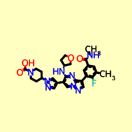 CNC(=O)c1cc(C)c(F)c(-c2cnn3cc(-c4cnn(C5CCN(C(=O)O)CC5)c4)c(N[C@H]4CCOC4)nc23)c1